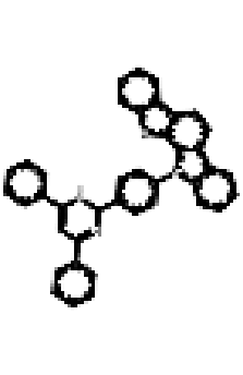 C1=C(c2ccccc2)NC(c2ccc(-n3c4ccccc4c4ccc5c6ccccc6sc5c43)cc2)N=C1c1ccccc1